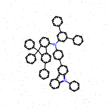 c1ccc(-c2cc(-c3ccccc3)cc(N(c3ccc(-c4ccc5c(c4)c4ccccc4n5-c4ccccc4)cc3)c3cccc4c3-c3ccc(-c5ccccc5)cc3C4(c3ccccc3)c3ccccc3)c2)cc1